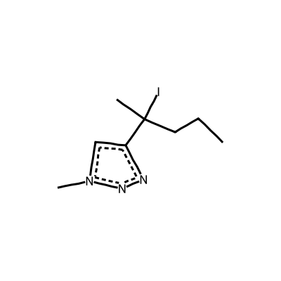 CCCC(C)(I)c1cn(C)nn1